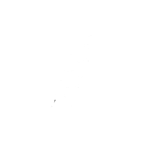 CC[C@H](C)OC(=O)c1ccc(-c2ccc(O)cc2)cc1